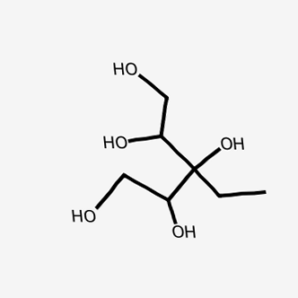 CCC(O)(C(O)CO)C(O)CO